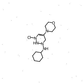 ClN1C=C(N2CCOCC2)CN(NC2CCCCC2)N1